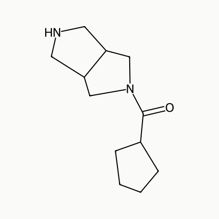 O=C(C1CCCC1)N1CC2CNCC2C1